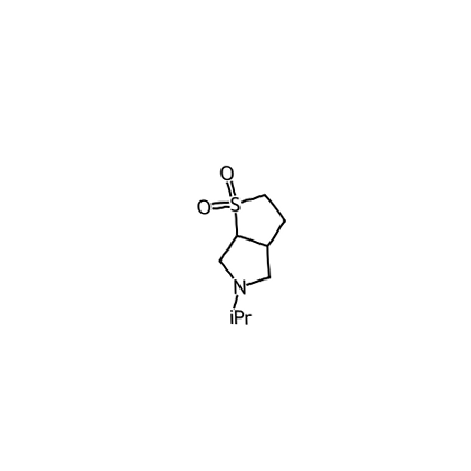 CC(C)N1CC2CCS(=O)(=O)C2C1